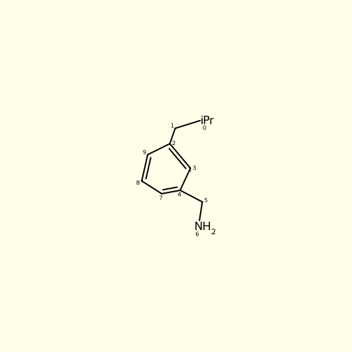 CC(C)Cc1[c]c(CN)ccc1